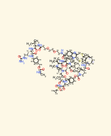 CC[C@H](C)[C@@H]([C@@H](CC(=O)N1CCC[C@H]1[C@H](OC)[C@@H](C)C(=O)N[C@@H](Cc1ccc(OC(=O)N2CCC(C(=O)N/C3=C/C=C\C=C/C4=C3C3(C)SCc5nc6cc(C(=O)NCCOCCOCCC(=O)N[C@H](C(=O)N[C@@H](CCCNC(N)=O)C(=O)Nc7ccc(COC(=O)NC)cc7)C(C)C)ccc6nc5CSC43C)CC2)cc1)C(=O)NS(=O)(=O)C1CC1)OC)N(C)C(=O)[C@@H](NC(=O)[C@H](C(C)C)N(C)C)C(C)C